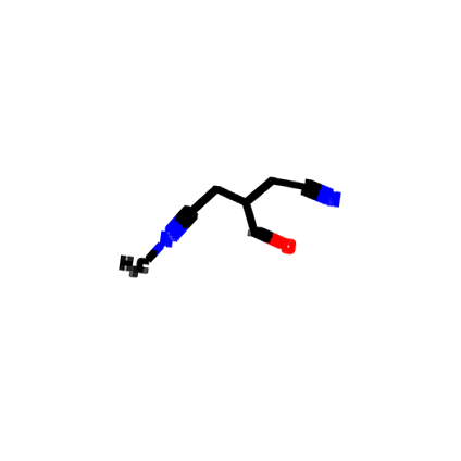 C[N+]#CCC([C]=O)CC#N